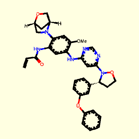 C=CC(=O)Nc1cc(Nc2cc(N3OCC[C@@H]3c3cccc(Oc4ccccc4)c3)ncn2)c(OC)cc1N1C[C@H]2C[C@@H]1CO2